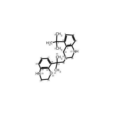 CC(C)(C)c1cccc2c1CN(CC(C)(C)c1cccc3c1OCCN3)CN2